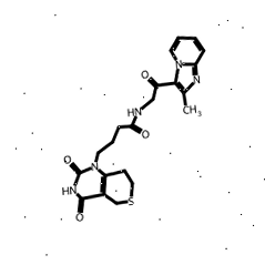 Cc1nc2ccccn2c1C(=O)CNC(=O)CCCn1c2c(c(=O)[nH]c1=O)CSCC2